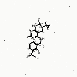 Cc1nc2c(c(N[C@H](C)c3cccc(C(F)F)c3F)n1)CN(C1(C)CC1)C(=O)N2